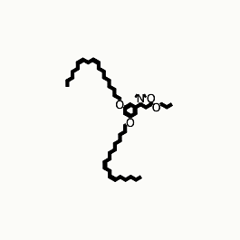 CCCCC/C=C\C/C=C\CCCCCCCCOc1cc(OCCCCCCCC/C=C\C/C=C\CCCCC)cc(C(CC(=O)OCCC)N(C)C)c1